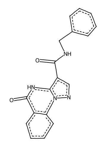 O=C(NCc1ccccc1)c1cnn2c1[nH]c(=O)c1ccccc12